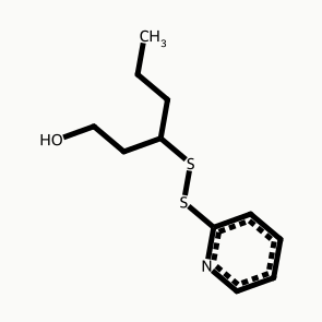 CCCC(CCO)SSc1ccccn1